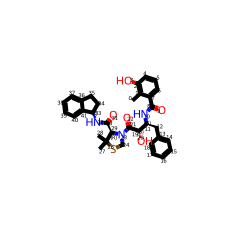 Cc1c(O)cccc1C(=O)N[C@@H](Cc1ccccc1)[C@H](O)C(=O)N1CSC(C)(C)[C@H]1C(=O)N[C@@H]1CCc2ccccc21